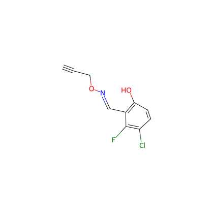 C#CCON=Cc1c(O)ccc(Cl)c1F